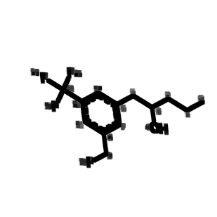 CCCC(O)Cc1cc(CF)cc(C(F)(F)F)c1